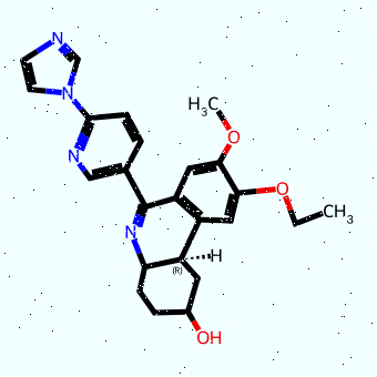 CCOc1cc2c(cc1OC)C(c1ccc(-n3ccnc3)nc1)=NC1CCC(O)C[C@H]21